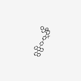 CC1(C)c2cc(-c3ccc(-c4c5ccccc5c(-c5cccc6ccccc56)c5ccccc45)cc3)ccc2-c2c1ccc1oc3c4ccccc4ccc3c21